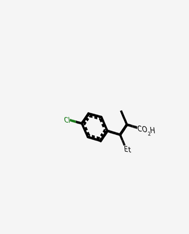 CCC(c1ccc(Cl)cc1)C(C)C(=O)O